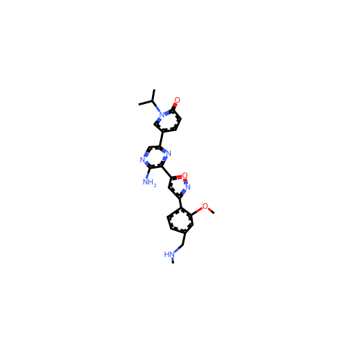 CNCc1ccc(-c2cc(-c3nc(-c4ccc(=O)n(C(C)C)c4)cnc3N)on2)c(OC)c1